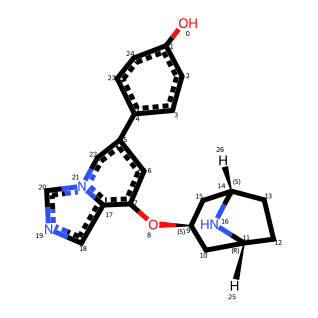 Oc1ccc(-c2cc(O[C@@H]3C[C@H]4CC[C@@H](C3)N4)c3cncn3c2)cc1